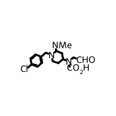 CNC1CC(N(CC=O)C(=O)O)CCN1Cc1ccc(Cl)cc1